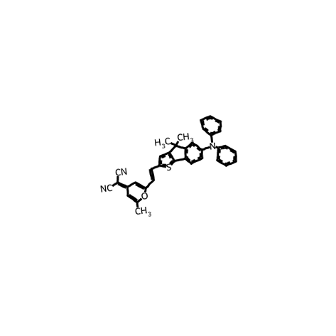 CC1=CC(=C(C#N)C#N)C=C(/C=C/c2cc3c(s2)-c2ccc(N(c4ccccc4)c4ccccc4)cc2C3(C)C)O1